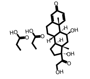 CCC(=O)O.CCC(=O)O.C[C@]12C=CC(=O)C=C1CC[C@@H]1[C@@H]2[C@@H](O)C[C@@]2(C)[C@H]1CC[C@]2(O)C(=O)CO